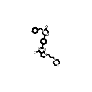 O=C1COC(c2ccc(-c3nc(Cl)c4c(n3)N(CCCN3CCOCC3)CC4)cc2)CN1Cc1ccccc1